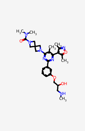 CNCC(O)COc1cccc(-c2nc(-c3c(C)noc3C)c(C)c(N3CC4(CN(C(=O)N(C)C)C4)C3)n2)c1